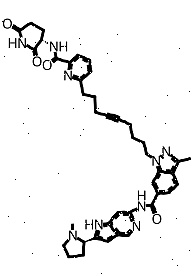 Cc1nn(CCCCC#CCCCc2cccc(C(=O)N[C@H]3CCC(=O)NC3=O)n2)c2cc(C(=O)Nc3cc4[nH]c([C@H]5CCCN5C)cc4cn3)ccc12